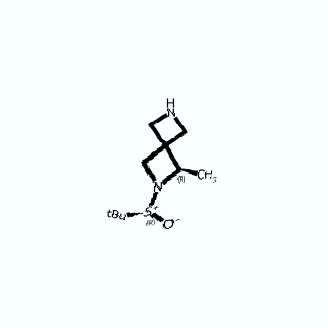 C[C@H]1N([S@@+]([O-])C(C)(C)C)CC12CNC2